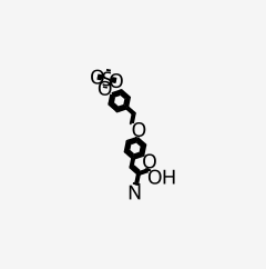 CS(=O)(=O)Oc1ccc(CCOc2ccc(/C=C(/C#N)C(=O)O)cc2)cc1